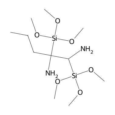 CCCC(N)(C(N)[Si](OC)(OC)OC)[Si](OC)(OC)OC